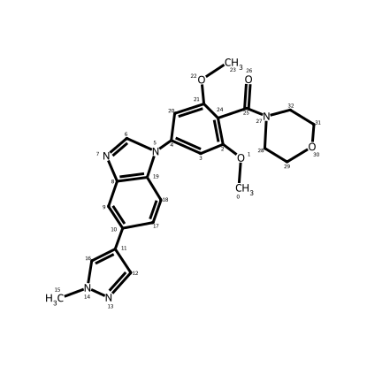 COc1cc(-n2cnc3cc(-c4cnn(C)c4)ccc32)cc(OC)c1C(=O)N1CCOCC1